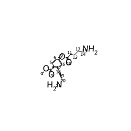 COC(=O)c1ccc(OC(=O)CCCCN)cc1C#CCN